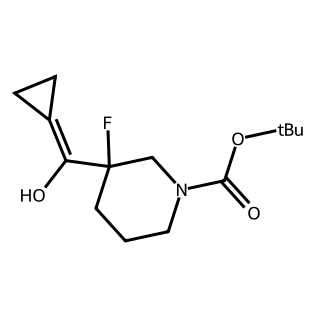 CC(C)(C)OC(=O)N1CCCC(F)(C(O)=C2CC2)C1